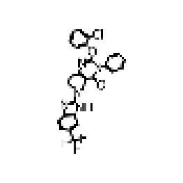 O=c1c2c(nc(Oc3ccccc3Cl)n1-c1ccccc1)CCN(c1nc3ccc(C(F)(F)F)cc3[nH]1)C2